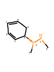 CPP(C)[C@H]1C=CC=CC1